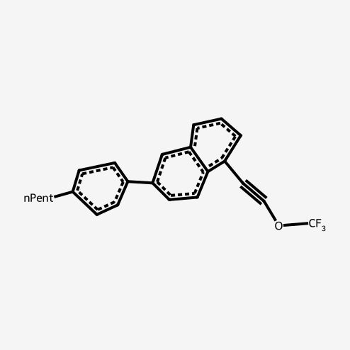 CCCCCc1ccc(-c2ccc3c(C#COC(F)(F)F)cccc3c2)cc1